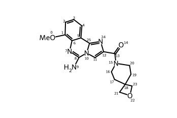 COc1cccc2c1nc(N)n1cc(C(=O)N3CCC4(CC3)COC4)nc21